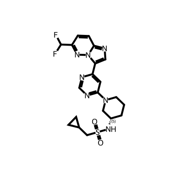 O=S(=O)(CC1CC1)N[C@H]1CCCN(c2cc(-c3cnc4ccc(C(F)F)nn34)ncn2)C1